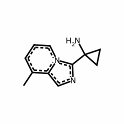 Cc1cccn2c(C3(N)CC3)ncc12